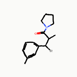 CCC(c1cccc(C)c1)C(C)C(=O)N1CCCC1